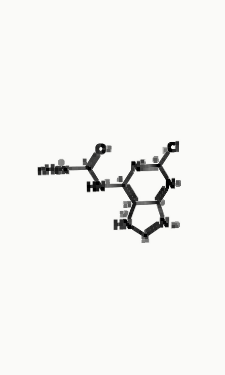 CCCCCCC(=O)Nc1nc(Cl)nc2nc[nH]c12